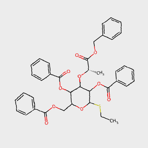 CCSC1OC(COC(=O)c2ccccc2)C(OC(=O)c2ccccc2)C(O[C@@H](C)C(=O)OCc2ccccc2)C1OC(=O)c1ccccc1